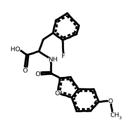 COc1ccc2oc(C(=O)NC(Cc3ccccc3F)C(=O)O)cc2c1